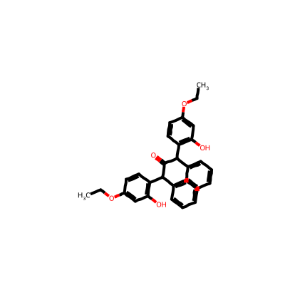 CCOc1ccc(C(C(=O)C(c2ccccc2)c2ccc(OCC)cc2O)c2ccccc2)c(O)c1